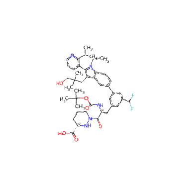 CCn1c(-c2cccnc2C(C)C)c(CC(C)(C)CO)c2cc(-c3cc(C[C@H](NC(=O)OC(C)(C)C)C(=O)N4CCC[C@@H](C(=O)O)N4)cc(C(F)F)c3)ccc21